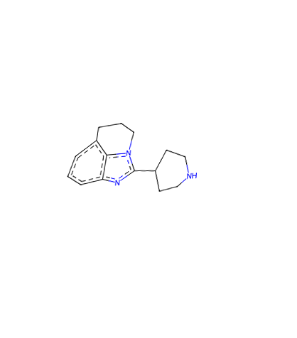 c1cc2c3c(c1)nc(C1CCNCC1)n3CCC2